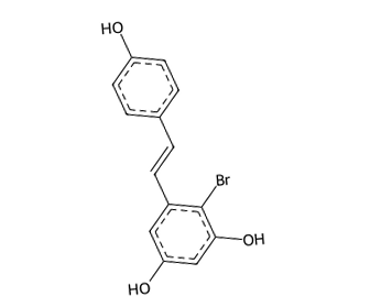 Oc1ccc(C=Cc2cc(O)cc(O)c2Br)cc1